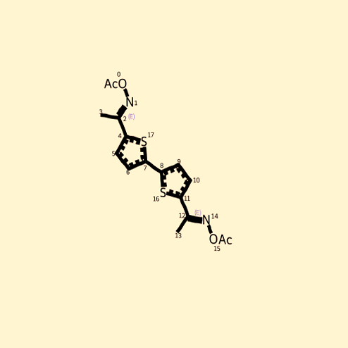 CC(=O)O/N=C(\C)c1ccc(-c2ccc(/C(C)=N/OC(C)=O)s2)s1